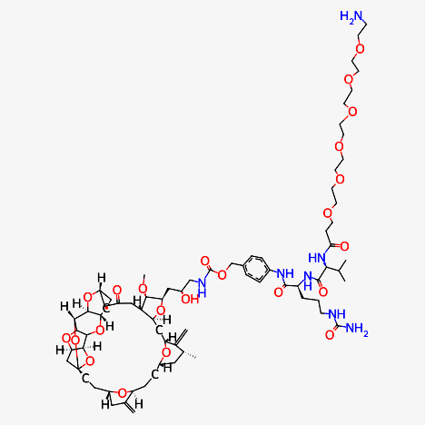 C=C1C[C@@H]2CC[C@@]34C[C@H]5OC6C(O[C@H]7CC[C@H](CC(=O)C[C@@H]8[C@@H](OC)[C@@H](C[C@H](O)CNC(=O)OCc9ccc(NC(=O)[C@H](CCCNC(N)=O)NC(=O)[C@@H](NC(=O)CCOCCOCCOCCOCCOCCOCCN)C(C)C)cc9)O[C@H]8C[C@H]8O[C@@H](CC[C@@H]1O2)C[C@@H](C)C8=C)O[C@@H]7[C@@H]6O3)[C@H]5O4